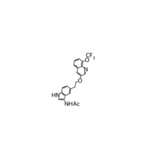 CC(=O)Nc1c[nH]c2ccc(CCOc3cnc4c(OC(F)(F)F)cccc4c3)cc12